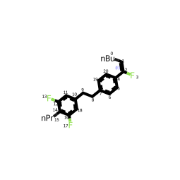 CCCC/C=C(/F)c1ccc(CCc2cc(F)c(CCC)c(F)c2)cc1